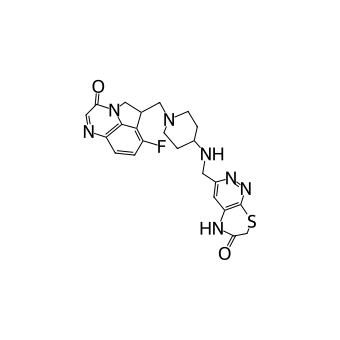 O=C1CSc2nnc(CNC3CCN(CC4Cn5c(=O)cnc6ccc(F)c4c65)CC3)cc2N1